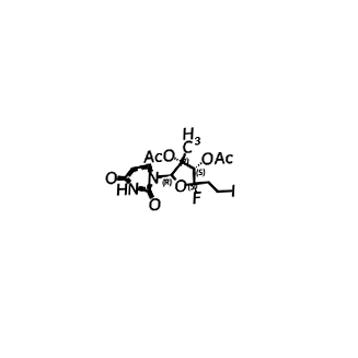 CC(=O)O[C@H]1[C@@](C)(OC(C)=O)[C@H](n2ccc(=O)[nH]c2=O)O[C@]1(F)CCI